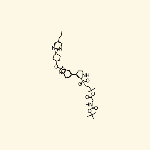 CCCc1cnc(N2CCC(Oc3nc4ccc(C5=CC(S(=O)(=O)CCC(C)(C)OC(=O)CNC(=O)OC(C)(C)C)NCC5)cc4s3)CC2)nc1